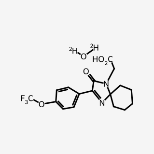 O=C(O)CN1C(=O)C(c2ccc(OC(F)(F)F)cc2)=NC12CCCCC2.[2H]O[2H]